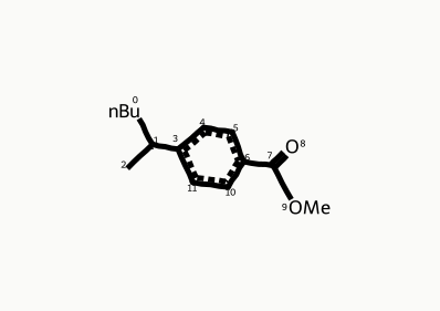 CCCC[C](C)c1ccc(C(=O)OC)cc1